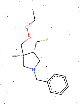 CCOOC[C@]1(C)CN(Cc2ccccc2)C[C@H]1CF